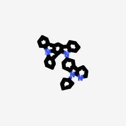 c1ccc(-n2c3ccc(-n4c5ccccc5c5cc6c7ccccc7n7c8ccccc8c(c54)c67)cc3c3cccnc32)cc1